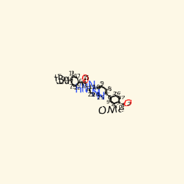 COC(=O)c1ccc(-c2ccc3nc(NC(=O)c4ccc(C(C)(C)C)cc4)cn3n2)cc1